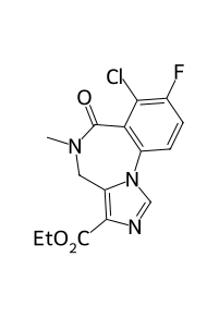 CCOC(=O)c1ncn2c1CN(C)C(=O)c1c-2ccc(F)c1Cl